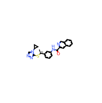 C[C@H](Sc1nncn1C1CC1)c1cccc(NC(=O)c2cc3ccccc3cn2)c1